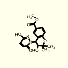 COC(=O)c1ccc2c(c1)C(n1nc(O)ccc1=O)C(O)C(C)(C)O2